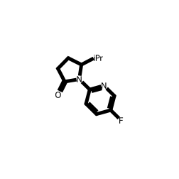 CC(C)C1CCC(=O)N1c1ccc(F)cn1